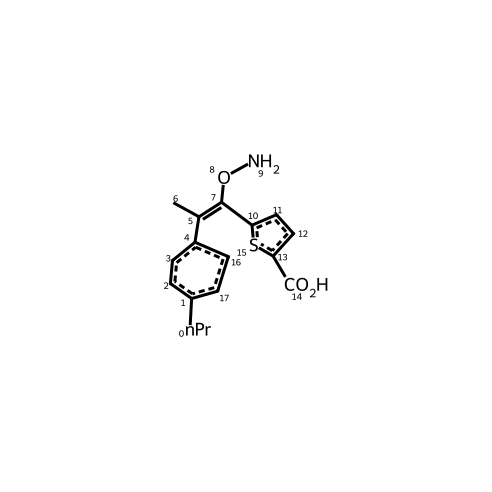 CCCc1ccc(/C(C)=C(/ON)c2ccc(C(=O)O)s2)cc1